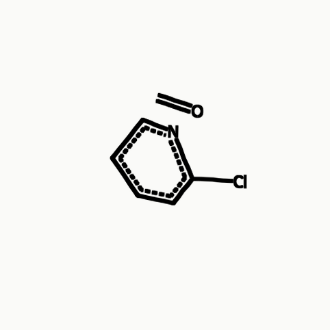 C=O.Clc1ccccn1